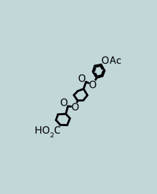 CC(=O)Oc1ccc(OC(=O)C2CCC(OC(=O)C3CCC(C(=O)O)CC3)CC2)cc1